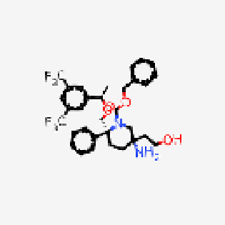 C[C@@H](OC[C@@]1(c2ccccc2)CCC(N)(CCO)CN1C(=O)OCc1ccccc1)c1cc(C(F)(F)F)cc(C(F)(F)F)c1